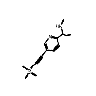 CNC(C)c1ccc(C#C[Si](C)(C)C)cn1